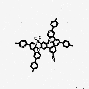 Cc1ccc(-c2ccc3c(c2)c2cc(-c4ccc(C)cc4)ccc2n3-c2cc(C(F)(F)F)c(-n3c4ccc(-c5ccc(C)cc5)cc4c4cc(-c5ccc(C)cc5)ccc43)cc2-c2cccc(C#N)c2)cc1